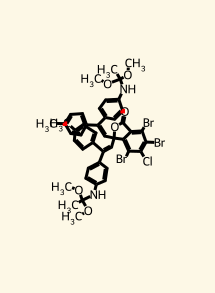 COC(C)(Nc1ccc(C(=CC2(C=C(c3ccc(C)cc3)c3ccc(NC(C)(OC)OC)cc3)OC(=O)c3c(Br)c(Br)c(Cl)c(Br)c32)c2ccc(C)cc2)cc1)OC